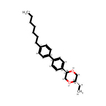 CCCCCCCc1ccc(-c2ccc([C@@H]3CO[C@@H](CC)CO3)cc2)cc1